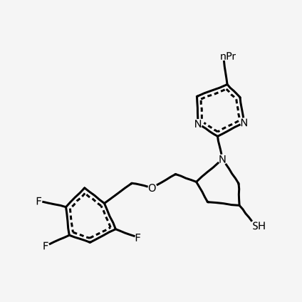 CCCc1cnc(N2CC(S)CC2COCc2cc(F)c(F)cc2F)nc1